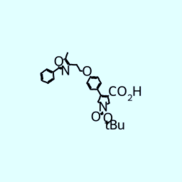 Cc1oc(-c2ccccc2)nc1CCOc1ccc(C2=C(C(=O)O)CN(C(=O)OC(C)(C)C)C2)cc1